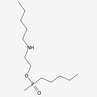 CCCCCNCCOP(C)(=O)CCCCC